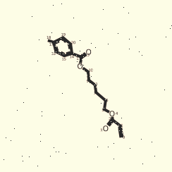 C=CC(=O)OCCCCCCOC(=O)c1ccc(C)cc1